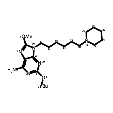 CCCCOc1nc(N)c2nc(OC)n(CCCCCCN3CCCCC3)c2n1